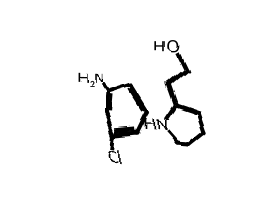 Nc1cccc(Cl)c1.OCCC1CCCCN1